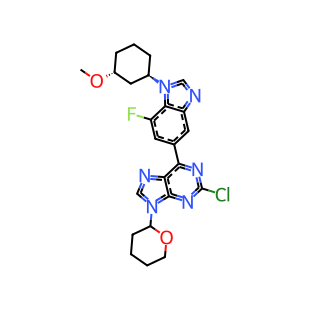 CO[C@@H]1CCC[C@@H](n2cnc3cc(-c4nc(Cl)nc5c4ncn5C4CCCCO4)cc(F)c32)C1